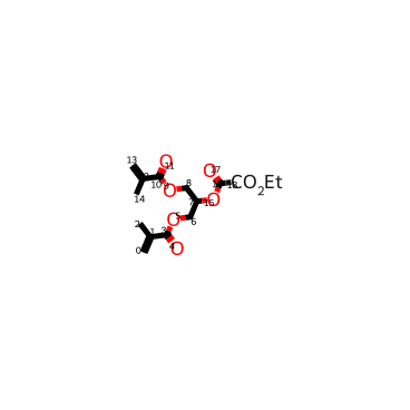 C=C(C)C(=O)OCC(COC(=O)C(=C)C)OC(=O)C(=O)OCC